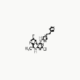 C[C@H](Nc1nc(Cl)nc(Nc2cn(CCc3ccsc3)cn2)n1)c1ncc(F)cn1